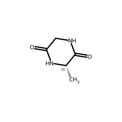 C[C@@H]1NC(=O)CNC1=O